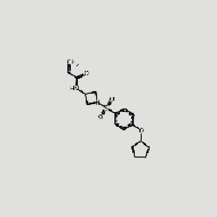 C=CC(=O)NC1CN(S(=O)(=O)c2ccc(OC3CCCC3)cc2)C1